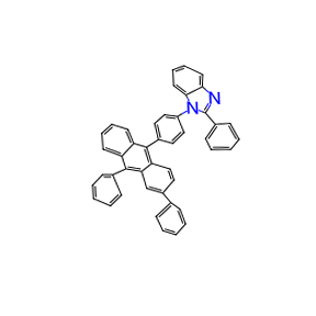 c1ccc(-c2ccc3c(-c4ccc(-n5c(-c6ccccc6)nc6ccccc65)cc4)c4ccccc4c(-c4ccccc4)c3c2)cc1